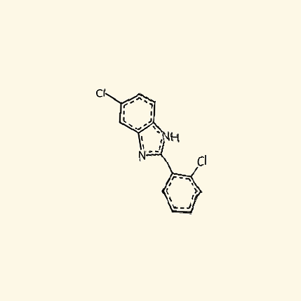 Clc1ccc2[nH]c(-c3ccccc3Cl)nc2c1